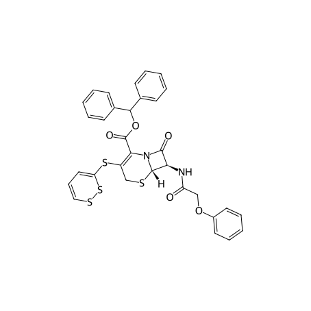 O=C(COc1ccccc1)N[C@@H]1C(=O)N2C(C(=O)OC(c3ccccc3)c3ccccc3)=C(SC3=CC=CSS3)CS[C@@H]12